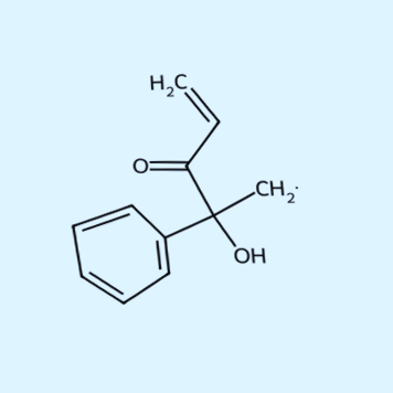 [CH2]C(O)(C(=O)C=C)c1ccccc1